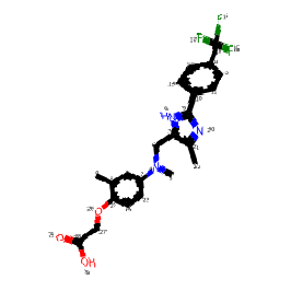 Cc1cc(N(C)Cc2[nH]c(-c3ccc(C(F)(F)F)cc3)nc2C)ccc1OCC(=O)O